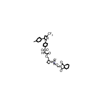 Cc1ccc(-c2cc(C(F)(F)F)nn2-c2ccc(S(=O)(=O)NC(=O)OC[C@@H]3CCN3/[N+]([O-])=N/OCN3C(=O)c4ccccc4C3=O)cc2)cc1